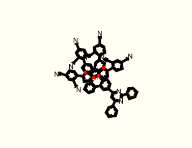 N#Cc1ccc(-c2ccc3c(c2)c2cc(-c4ccc(C#N)cc4C#N)ccc2n3-c2ccccc2-c2cc(-c3cc(-c4ccccc4)nc(-c4ccccc4)n3)ccc2-n2c3ccc(-c4ccc(C#N)cc4C#N)cc3c3cc(-c4ccc(C#N)cc4C#N)ccc32)c(C#N)c1